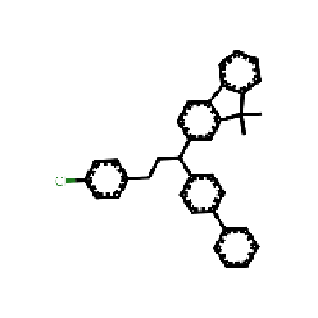 CC1(C)c2ccccc2-c2ccc(C(CCc3ccc(Cl)cc3)c3ccc(-c4ccccc4)cc3)cc21